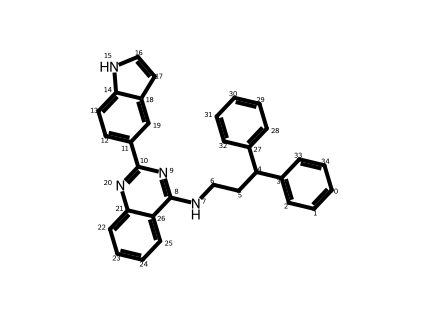 c1ccc(C(CCNc2nc(-c3ccc4[nH]ccc4c3)nc3ccccc23)c2ccccc2)cc1